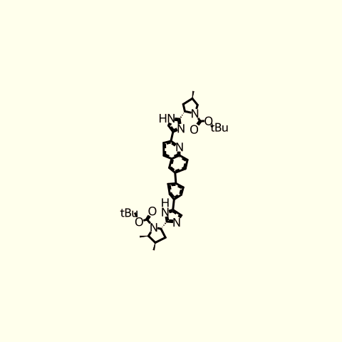 C[C@@H]1C[C@@H](c2nc(-c3ccc4cc(-c5ccc(-c6cnc([C@@H]7C[C@@H](C)[C@@H](C)N7C(=O)OC(C)(C)C)[nH]6)cc5)ccc4n3)c[nH]2)N(C(=O)OC(C)(C)C)C1